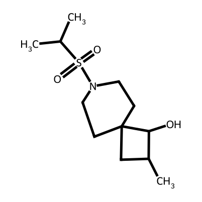 CC1CC2(CCN(S(=O)(=O)C(C)C)CC2)C1O